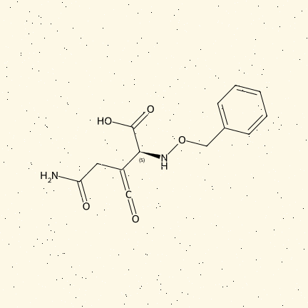 NC(=O)CC(=C=O)[C@H](NOCc1ccccc1)C(=O)O